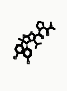 CC(C)C1=C(C(=O)N2CCC[C@H]2C(=O)N(C)C)SC2=N[C@@](C)(c3ccc(Cl)cc3)[C@@H](c3ccc(Cl)cc3)N21